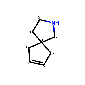 [CH]1NCCC12CC=CC2